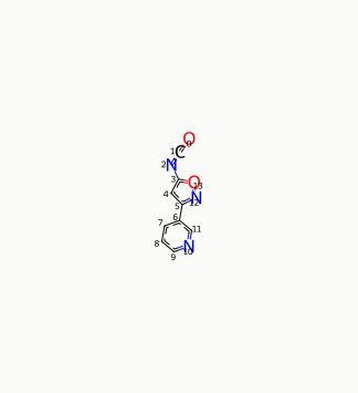 O=C=Nc1cc(-c2cccnc2)no1